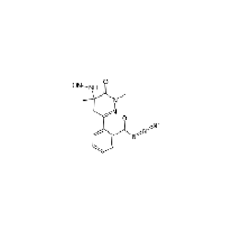 CN1N=C(c2ccccc2C(=O)N=[N+]=[N-])CC(C)(NN=O)C1=O